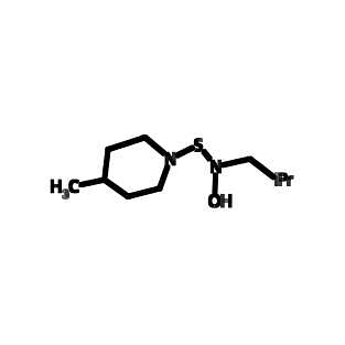 CC(C)CN(O)SN1CCC(C)CC1